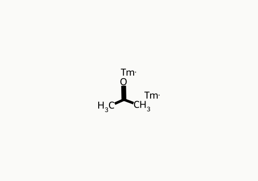 CC(C)=O.[Tm].[Tm]